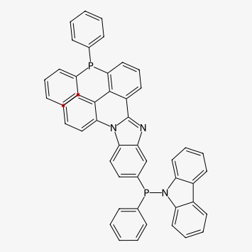 c1ccc(P(c2ccccc2)c2cccc3c2c2ccccc2n2c4ccc(P(c5ccccc5)n5c6ccccc6c6ccccc65)cc4nc32)cc1